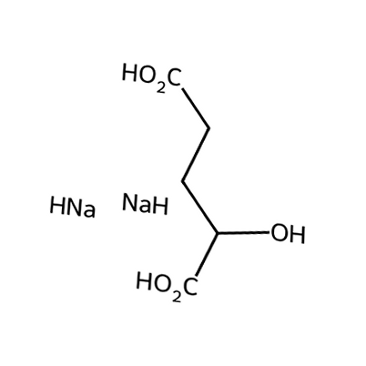 O=C(O)CCC(O)C(=O)O.[NaH].[NaH]